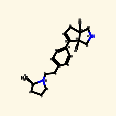 C[C@@H]1CCCN1CCc1ccc(C2=CC[C@@H]3CNC[C@H]23)cc1